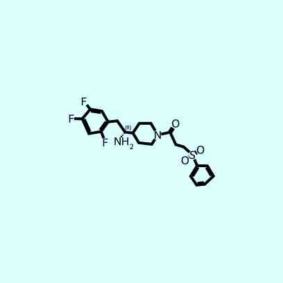 N[C@H](Cc1cc(F)c(F)cc1F)C1CCN(C(=O)CCS(=O)(=O)c2ccccc2)CC1